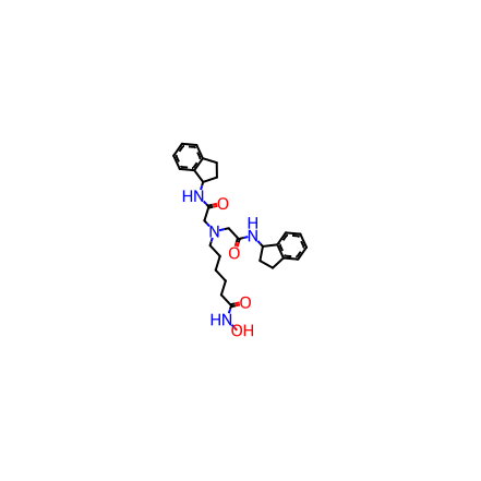 O=C(CCCCCN(CC(=O)NC1CCc2ccccc21)CC(=O)NC1CCc2ccccc21)NO